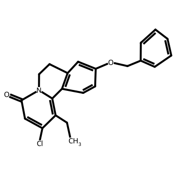 CCc1c(Cl)cc(=O)n2c1-c1ccc(OCc3ccccc3)cc1CC2